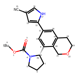 CC(C)(C)OC(=O)N1CCC[C@H]1c1cc(-c2cc(C#N)c[nH]2)cc2c1COCC2